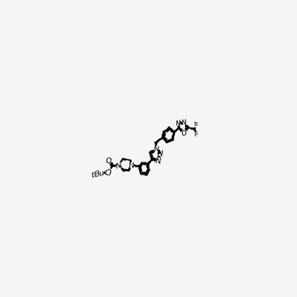 CC(C)(C)OC(=O)N1CCN(c2cccc(-c3cn(Cc4ccc(-c5nnc(C(F)F)o5)cc4)nn3)c2)CC1